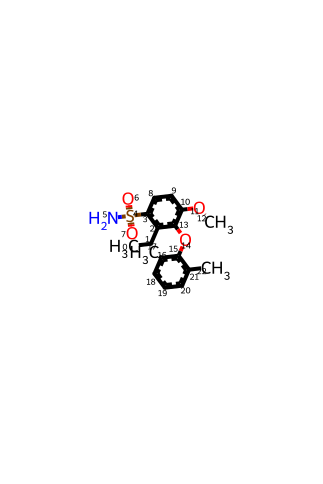 CCc1c(S(N)(=O)=O)ccc(OC)c1Oc1c(C)cccc1C